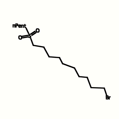 CCCCCS(=O)(=O)CCCCCCCCCCBr